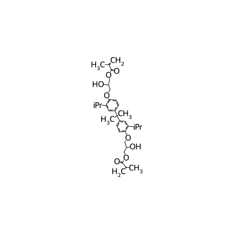 C=C(C)C(=O)OCC(O)COc1ccc(C(C)(C)c2ccc(OCC(O)COC(=O)C(=C)C)c(C(C)C)c2)cc1C(C)C